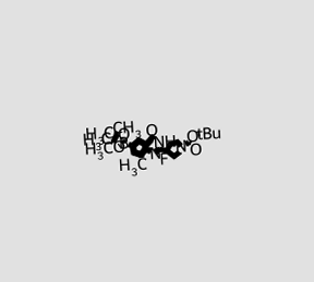 Cc1cc(B2OC(C)(C)C(C)(C)O2)cc2c(=O)[nH]c(C3(F)CCN(C(=O)OC(C)(C)C)CC3)nc12